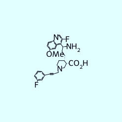 COc1ccc2ncc(F)c([C@@H](N)CC[C@H]3CCN(CC#Cc4cccc(F)c4)C[C@H]3C(=O)O)c2c1